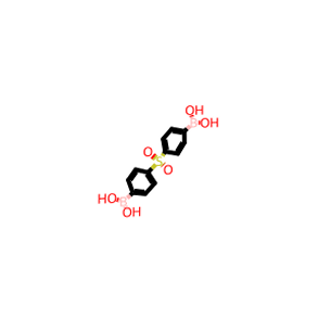 O=S(=O)(c1ccc(B(O)O)cc1)c1ccc(B(O)O)cc1